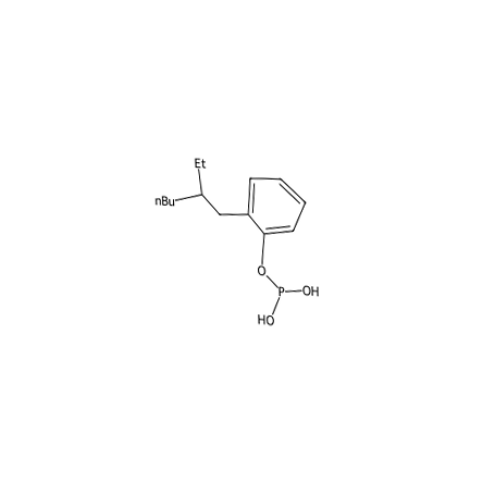 CCCCC(CC)Cc1ccccc1OP(O)O